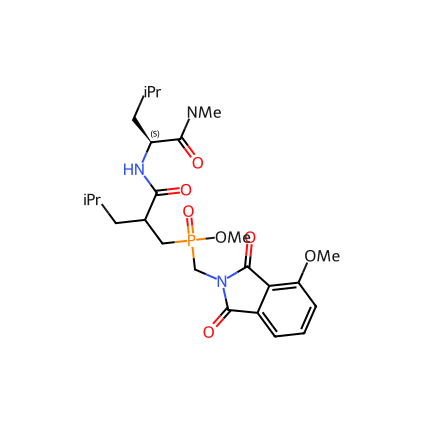 CNC(=O)[C@H](CC(C)C)NC(=O)C(CC(C)C)CP(=O)(CN1C(=O)c2cccc(OC)c2C1=O)OC